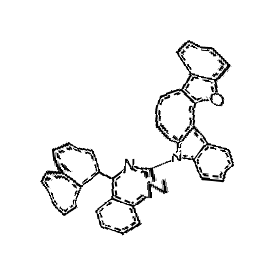 c1ccc2c(-c3nc(-n4c5ccccc5c5c6oc7ccccc7c6ccc54)nc4ccccc34)cccc2c1